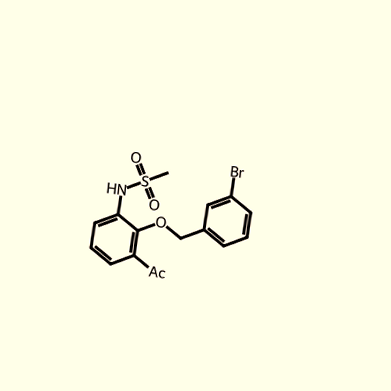 CC(=O)c1cccc(NS(C)(=O)=O)c1OCc1cccc(Br)c1